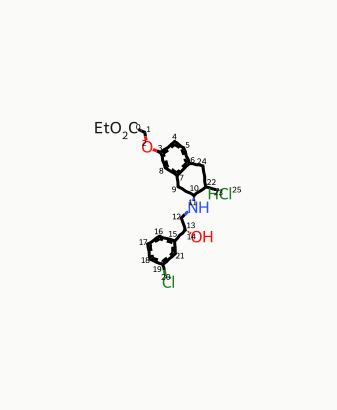 CCOC(=O)COc1ccc2c(c1)C[C@H](NC[C@H](O)c1cccc(Cl)c1)C(C)C2.Cl